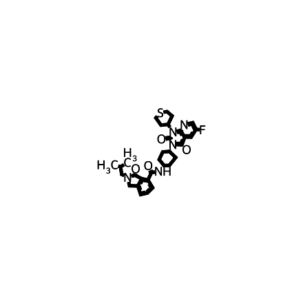 CC(C)CN1Cc2cccc(C(=O)N[C@H]3CC[C@@H](n4c(=O)c5cc(F)cnc5n(C5CCSCC5)c4=O)CC3)c2C1=O